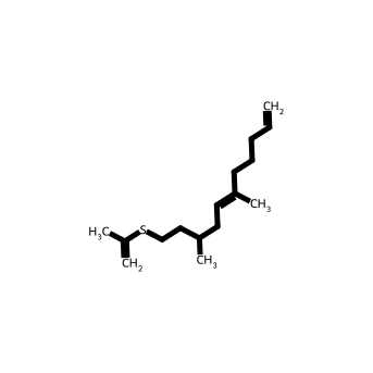 C=CCCC/C(C)=C/CC(C)CCSC(=C)C